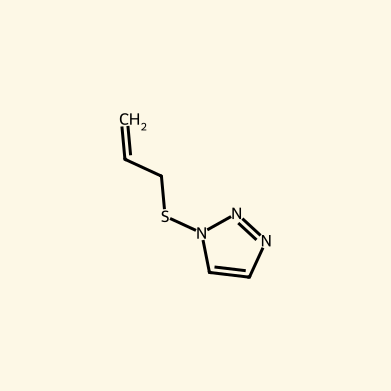 C=CCSn1ccnn1